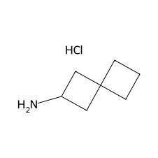 Cl.NC1CC2(CCC2)C1